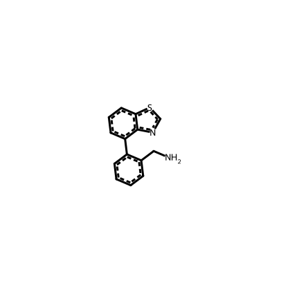 NCc1ccccc1-c1cccc2scnc12